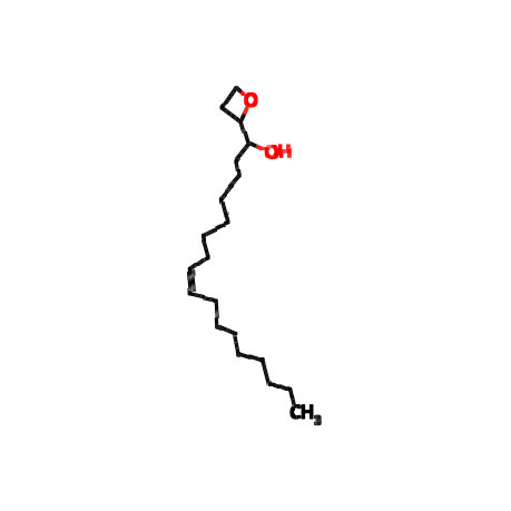 CCCCCCCC/C=C\CCCCCCC(O)C1CCO1